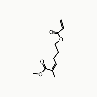 C=CC(=O)OCCCC=C(C)C(=O)OC